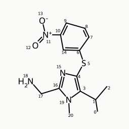 CC(C)c1c(Sc2cccc([N+](=O)[O-])c2)nc(CN)n1C